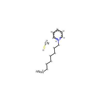 CCCCCCCCCCCCCCCC[n+]1ccccc1.N#C[S-]